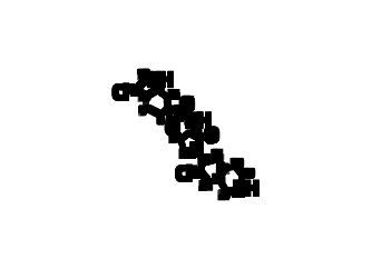 O=C1[C@@H](NS(=O)(=O)c2ccc3c(Cl)c[nH]c3c2)CCN1c1cc2c(cc1Cl)CNCC2